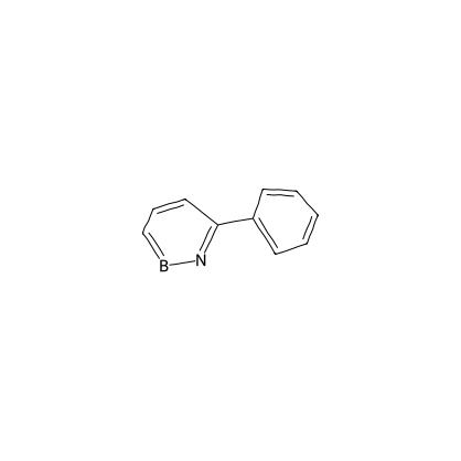 b1cccc(-c2ccccc2)n1